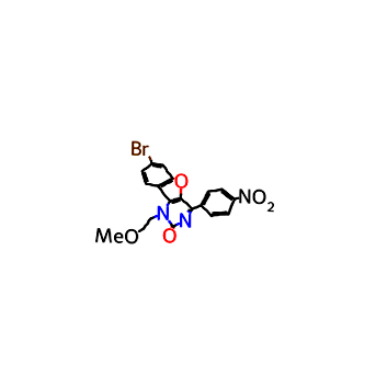 COCCn1c(=O)nc(-c2ccc([N+](=O)[O-])cc2)c2oc3cc(Br)ccc3c21